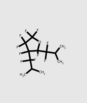 CC(C)C(F)(F)C1(F)OC(F)(F)C(F)(F)C1(F)C(F)(F)C(C)C